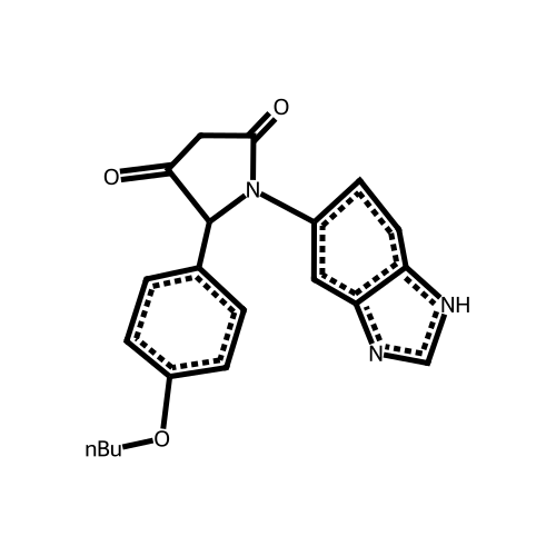 CCCCOc1ccc(C2C(=O)CC(=O)N2c2ccc3[nH]cnc3c2)cc1